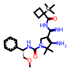 COC[C@@H](NC(=O)N1CC(C(=N)NC(=O)C2([Si](C)(C)C)CCC2)=C(N)C1(C)C)c1ccccc1